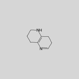 C1=NC2=C(CC1)NCCC2